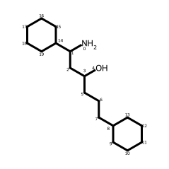 NC(CC(O)CCCC1CCCCC1)C1CCCCC1